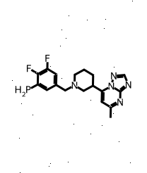 Cc1cc(C2CCCN(Cc3cc(F)c(F)c(P)c3)C2)n2ncnc2n1